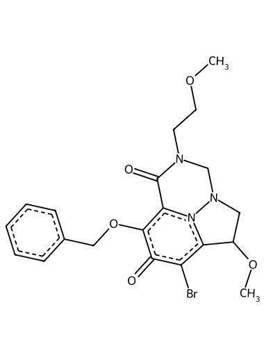 COCCN1CN2CC(OC)c3c(Br)c(=O)c(OCc4ccccc4)c(n32)C1=O